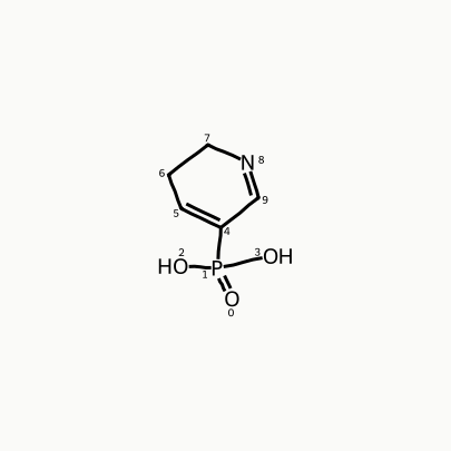 O=P(O)(O)C1=CCCN=C1